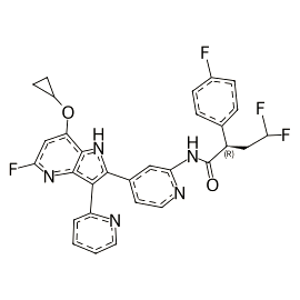 O=C(Nc1cc(-c2[nH]c3c(OC4CC4)cc(F)nc3c2-c2ccccn2)ccn1)[C@H](CC(F)F)c1ccc(F)cc1